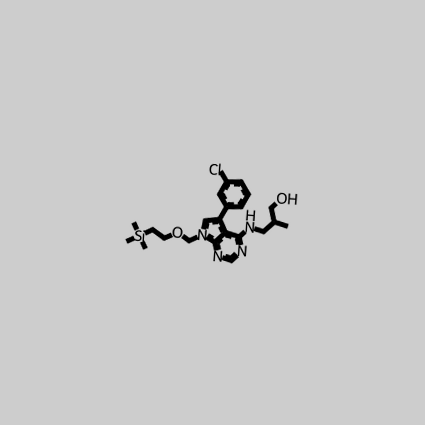 CC(CO)CNc1ncnc2c1c(-c1cccc(Cl)c1)cn2COCC[Si](C)(C)C